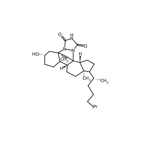 CC(C)CCC[C@@H](C)C1CC[C@H]2C34C=CC5(C[C@@H](O)CC[C@]5(C)[C@H]3CC[C@]12C)n1c(=O)[nH]c(=O)n14